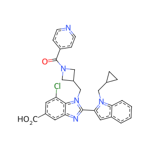 O=C(O)c1cc(Cl)c2c(c1)nc(-c1cc3ccccc3n1CC1CC1)n2CC1CN(C(=O)c2ccncc2)C1